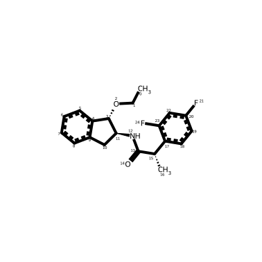 CCO[C@H]1c2ccccc2C[C@@H]1NC(=O)[C@@H](C)c1ccc(F)cc1F